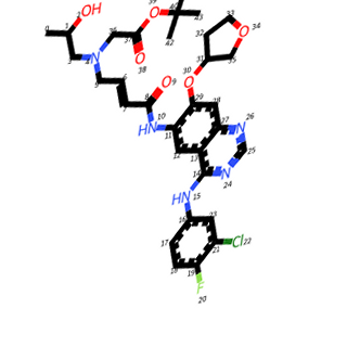 CC(O)CN(CC=CC(=O)Nc1cc2c(Nc3ccc(F)c(Cl)c3)ncnc2cc1OC1CCOC1)CC(=O)OC(C)(C)C